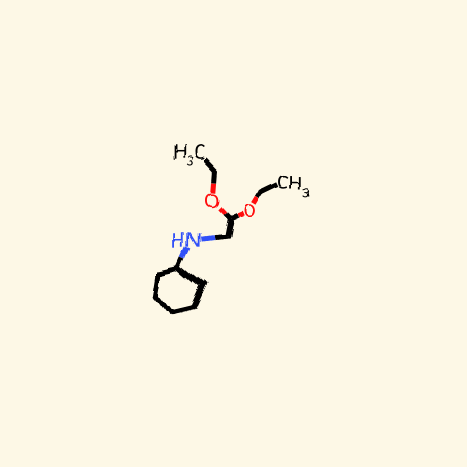 CCOC(CNC1CCCCC1)OCC